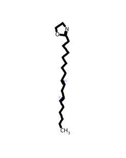 CCCCC/C=C/C/C=C/CCCCCCCC1=NCCO1